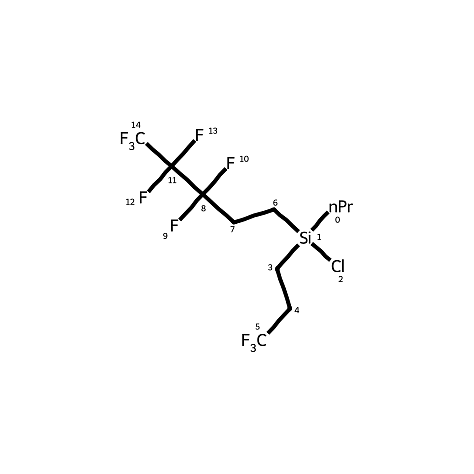 CCC[Si](Cl)(CCC(F)(F)F)CCC(F)(F)C(F)(F)C(F)(F)F